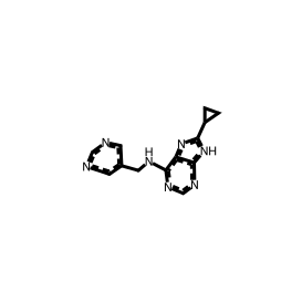 c1ncc(CNc2ncnc3[nH]c(C4CC4)nc23)cn1